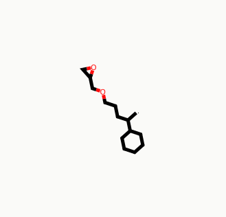 [CH2]C(CCCOCC1CO1)C1CCCCC1